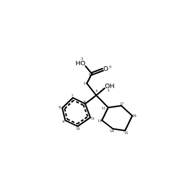 O=C(O)CC(O)(c1ccccc1)C1CCCCC1